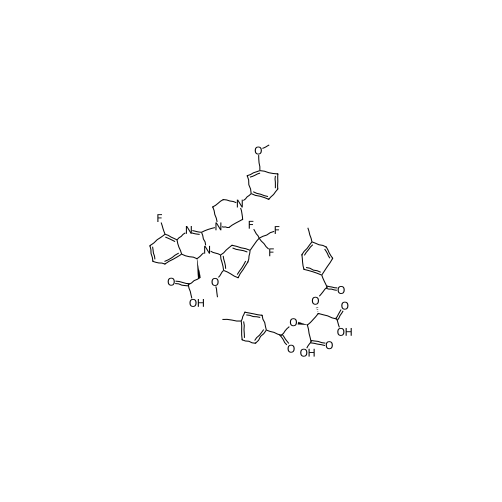 COc1cccc(N2CCN(C3=Nc4c(F)cccc4[C@H](CC(=O)O)N3c3cc(C(F)(F)F)ccc3OC)CC2)c1.Cc1ccc(C(=O)O[C@H](C(=O)O)[C@H](OC(=O)c2ccc(C)cc2)C(=O)O)cc1